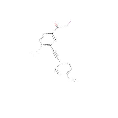 COc1ccc(C#Cc2cc(C(=O)CI)ccc2[N+](=O)[O-])cc1